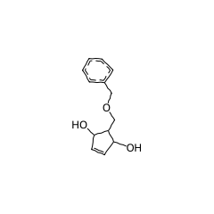 OC1C=CC(O)C1COCc1ccccc1